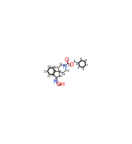 O=C(OCc1ccccc1)N1CCC2(CC1)CC(=NO)c1ccccc12